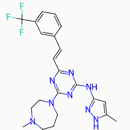 Cc1cc(Nc2nc(/C=C/c3cccc(C(F)(F)F)c3)nc(N3CCCN(C)CC3)n2)n[nH]1